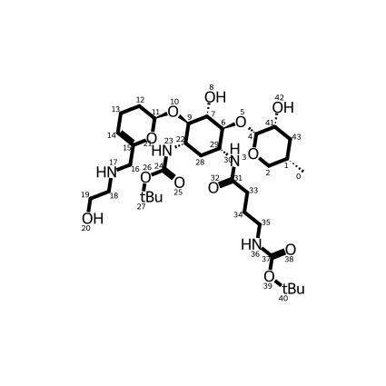 C[C@@H]1CO[C@H](O[C@@H]2[C@@H](O)[C@H](O[C@@H]3CCC=C(CNCCO)O3)[C@@H](NC(=O)OC(C)(C)C)C[C@H]2NC(=O)CCCNC(=O)OC(C)(C)C)[C@H](O)C1